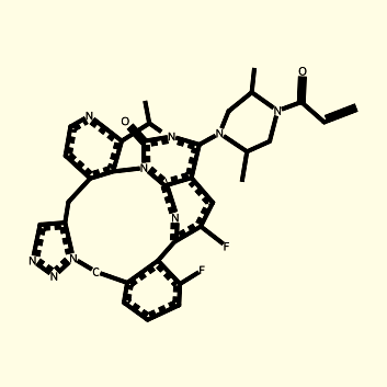 C=CC(=O)N1CC(C)N(c2nc(=O)n3c4nc(c(F)cc24)-c2c(F)cccc2Cn2nncc2Cc2ccnc(C(C)C)c2-3)CC1C